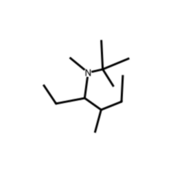 CCC(C)C(CC)N(C)C(C)(C)C